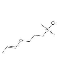 CC=COCCC[Si](C)(C)[O]